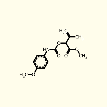 C=C(C)C(OC(=O)Nc1ccc(OC)cc1)C(=O)OC